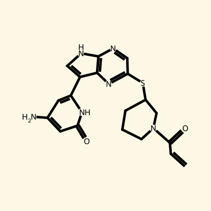 C=CC(=O)N1CCCC(Sc2cnc3[nH]cc(-c4cc(N)cc(=O)[nH]4)c3n2)C1